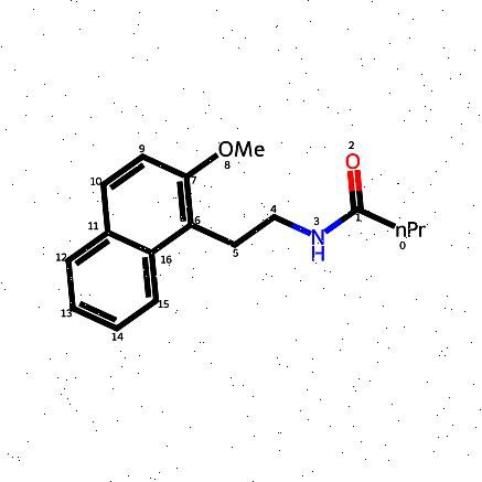 CCCC(=O)NCCc1c(OC)ccc2ccccc12